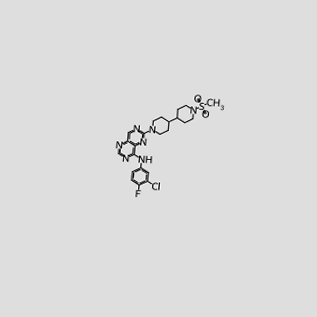 CS(=O)(=O)N1CCC(C2CCN(c3ncc4ncnc(Nc5ccc(F)c(Cl)c5)c4n3)CC2)CC1